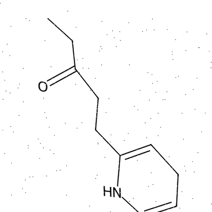 CCC(=O)CCC1=CCC=CN1